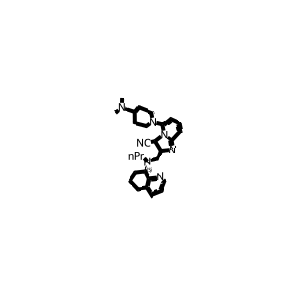 CCCN(CC1N=C2C=CC=C(N3CCC(N(C)C)CC3)N2C1C#N)[C@H]1CCCc2cccnc21